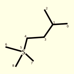 CC(C)CCS(C)(C)C